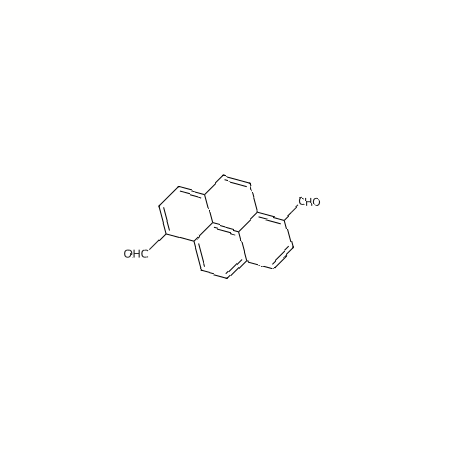 O=Cc1ccc2ccc3c(C=O)ccc4ccc1c2c43